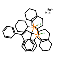 ClP(C1CCCCC1)(C1CCCCC1)(C1CCCCC1)C1(P(Cl)(C2CCCCC2)(C2CCCCC2)C2CCCCC2)C=C(c2ccccc2)c2ccccc21.[Ru+2].[Ru+3]